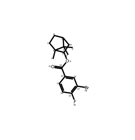 CC1(C)C2CCC1(C)C(OC(=O)c1ccc(F)c(Br)c1)C2